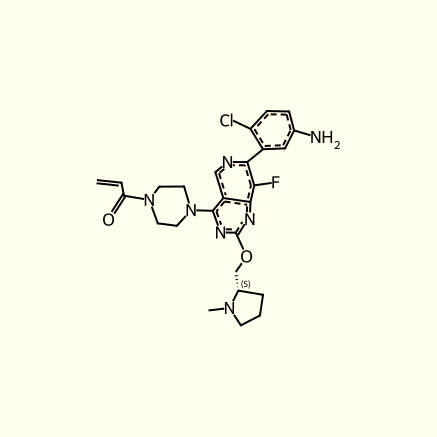 C=CC(=O)N1CCN(c2nc(OC[C@@H]3CCCN3C)nc3c(F)c(-c4cc(N)ccc4Cl)ncc23)CC1